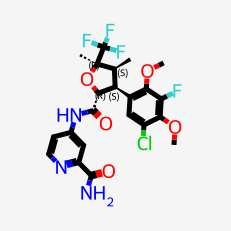 COc1c(Cl)cc([C@H]2[C@H](C(=O)Nc3ccnc(C(N)=O)c3)O[C@@](C)(C(F)(F)F)[C@H]2C)c(OC)c1F